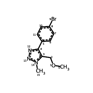 COCc1c(-c2ccc(Br)cc2)nnn1C